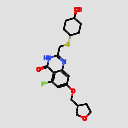 O=c1[nH]c(CS[C@H]2CC[C@H](O)CC2)nc2cc(OCC3CCOC3)cc(F)c12